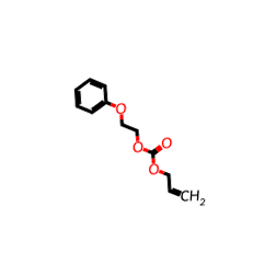 C=CCOC(=O)OCCOc1ccccc1